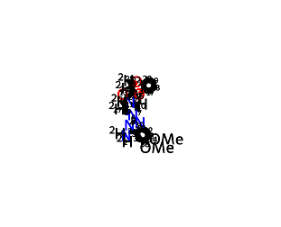 [2H]N([2H])c1nc(N2CC([2H])([2H])N(C(=O)C3Oc4ccccc4OC3([2H])[2H])C([2H])([2H])C2)nc2cc(OC)c(OC)cc12